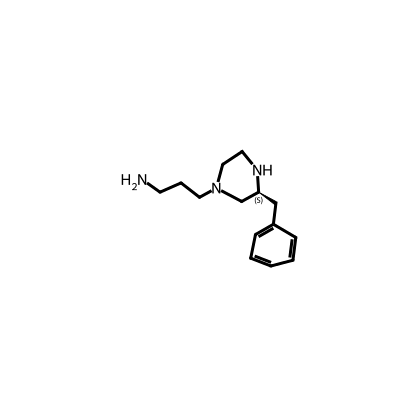 NCCCN1CCN[C@@H](Cc2ccccc2)C1